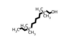 CCC[N+](C)(C)CCCCCC[N+](C)(C)CCO